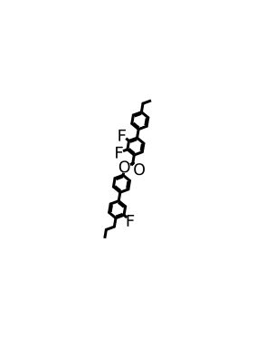 CCCc1ccc(-c2ccc(OC(=O)c3ccc(-c4ccc(CC)cc4)c(F)c3F)cc2)cc1F